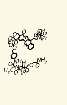 CC[C@@]1(OC(=O)OCc2ccc(NC(=O)[C@H](C)NC(=O)[C@@H](NC(=O)COCC(N)=O)C(C)C)cc2)C(=O)OCc2c1cc1n(c2=O)Cc2c-1nc1ccccc1c2CCN(C(C)C)S(C)(=O)=O